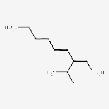 CC(N)C(CCCCCC(=O)O)CC(=O)O